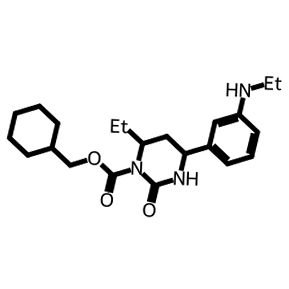 CCNc1cccc(C2CC(CC)N(C(=O)OCC3CCCCC3)C(=O)N2)c1